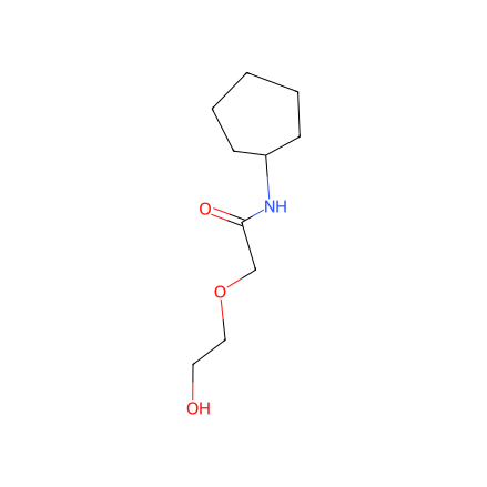 O=C(COCCO)NC1CCCCC1